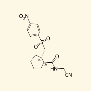 N#CCNC(=O)[C@H]1CCCC[C@@H]1CS(=O)(=O)c1ccc([N+](=O)[O-])cc1